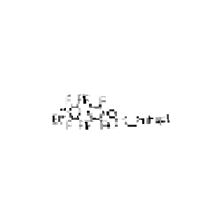 CCCCCCC[C@H]1CC[C@H](C(=O)Oc2c(F)c(F)c(-c3c(F)c(F)c(OCC)c(F)c3F)c(F)c2F)CC1